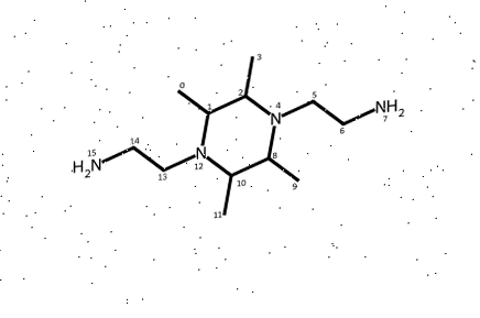 CC1C(C)N(CCN)C(C)C(C)N1CCN